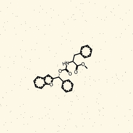 COC(=O)C(Cc1ccccc1)NC(=O)O[C@H](c1ccccc1)c1cc2ccccc2o1